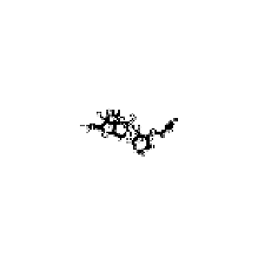 BC1OC2COP(=O)(O[C@@H]3CSSCC3OCC#C)O[C@H]2[C@@]1(C)O